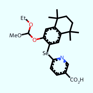 CCOC(OC)Oc1cc2c(cc1[Se]c1ccc(C(=O)O)cn1)C(C)(C)CCC2(C)C